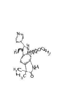 CC1(C)C(=O)Nc2cc3c(cc21)NC(c1ccncc1)N3.O.O.O.O